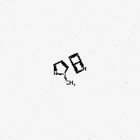 Cn1cccn1.c1cc2ncc1-2